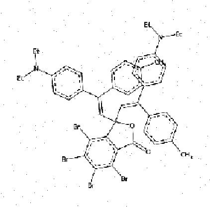 CCN(CC)c1ccc(/C(=C/C2(/C=C(\c3ccc(C)cc3)c3ccc(N(CC)CC)cc3)OC(=O)c3c(Br)c(Br)c(Br)c(Br)c32)c2ccc(C)cc2)cc1